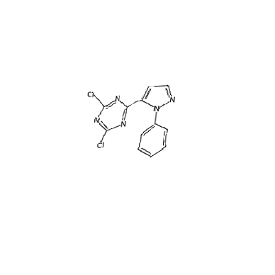 Clc1nc(Cl)nc(-c2ccnn2-c2ccccc2)n1